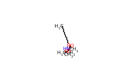 CCCCCCCCCCCCCCOC(=O)[C@H](C)NC(=O)OC(C)(C)C